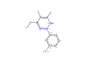 CCC(=N)C(C)=C(C)NNc1cccc(Cl)c1